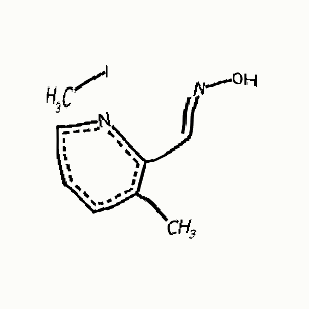 CI.Cc1cccnc1C=NO